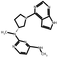 CNc1ccnc(N(C)[C@@H]2CCN(c3ncnc4[nH]ccc34)C2)n1